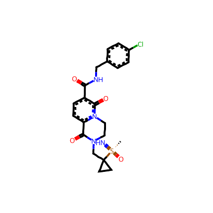 C[S@](=N)(=O)C1(CN2CCn3c(ccc(C(=O)NCc4ccc(Cl)cc4)c3=O)C2=O)CC1